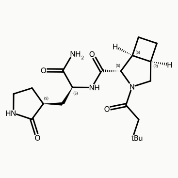 CC(C)(C)CC(=O)N1C[C@@H]2CC[C@@H]2[C@H]1C(=O)N[C@@H](C[C@@H]1CCNC1=O)C(N)=O